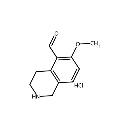 COc1ccc2c(c1C=O)CCNC2.Cl